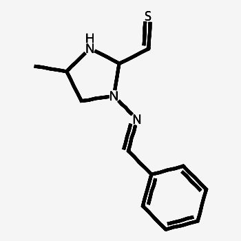 CC1CN(N=Cc2ccccc2)C(C=S)N1